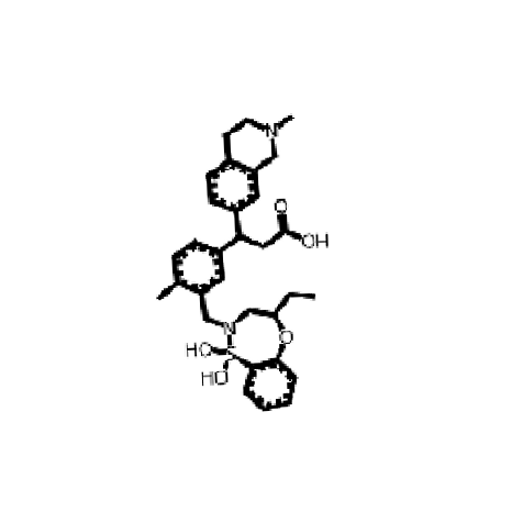 CCC1CN(Cc2cc(C(CC(=O)O)c3ccc4c(c3)CN(C)CC4)ccc2C)S(O)(O)c2ccccc2O1